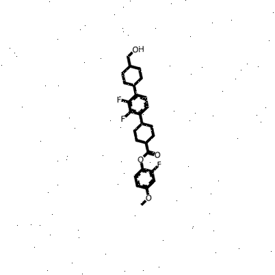 COc1ccc(OC(=O)C2CCC(c3ccc(C4CCC(CO)CC4)c(F)c3F)CC2)c(F)c1